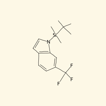 CC(C)(C)[Si](C)(C)n1ccc2ccc(C(F)(F)F)cc21